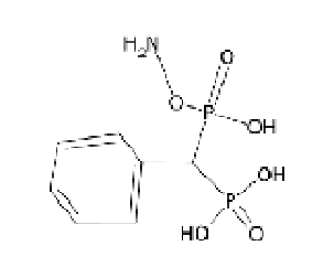 NOP(=O)(O)C(c1ccccc1)P(=O)(O)O